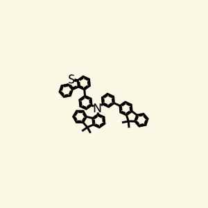 CC1(C)c2ccccc2-c2ccc(-c3cccc(N(c4cccc(-c5cccc6sc7ccccc7c56)c4)c4cccc5c4-c4ccccc4C5(C)C)c3)cc21